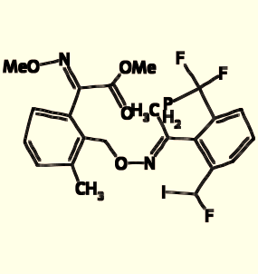 CO/N=C(/C(=O)OC)c1cccc(C)c1CO/N=C(\C)c1c(C(F)I)cccc1C(F)(F)P